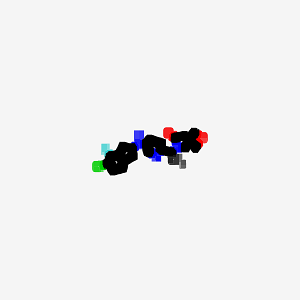 O=C1CC2(COC2)CN1C(c1ccc(NC2Cc3ccc(Cl)c(F)c3C2)cn1)C(F)(F)F